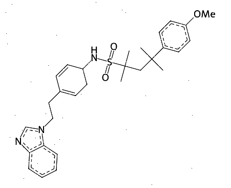 COc1ccc(C(C)(C)CC(C)(C)S(=O)(=O)NC2C=CC(CCn3cnc4ccccc43)=CC2)cc1